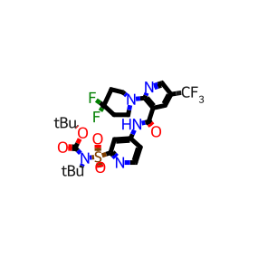 CC(C)(C)OC(=O)N(C(C)(C)C)S(=O)(=O)c1cc(NC(=O)c2cc(C(F)(F)F)cnc2N2CCC(F)(F)CC2)ccn1